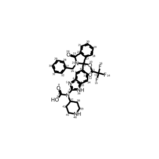 O=C(O)N(c1nc2cc(C3(OC(=O)C(F)(F)F)c4ccccc4C(=O)N3Cc3ccccc3)ccc2[nH]1)C1CCNCC1